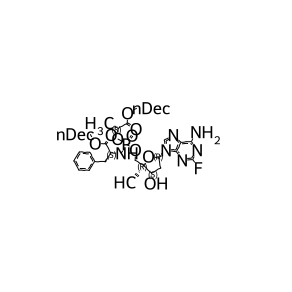 C#C[C@]1(COP(=O)(N[C@@H](Cc2ccccc2)C(=O)OCCCCCCCCCC)O[C@@H](C)C(=O)OCCCCCCCCCC)O[C@@H](n2cnc3c(N)nc(F)nc32)C[C@@H]1O